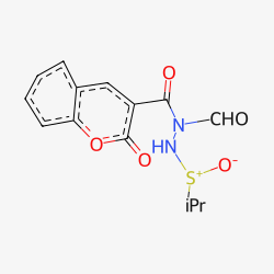 CC(C)[S+]([O-])NN(C=O)C(=O)c1cc2ccccc2oc1=O